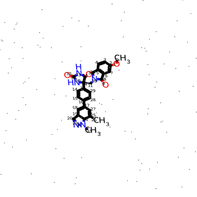 COc1ccc2c(c1)C(=O)N(C[C@@]1(c3ccc(C4=CC5C=NN(C)C5C(C)=C4)cc3)NC(=O)NC1=O)C2